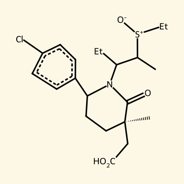 CCC(C(C)[S+]([O-])CC)N1C(=O)[C@@](C)(CC(=O)O)CCC1c1ccc(Cl)cc1